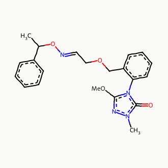 COc1nn(C)c(=O)n1-c1ccccc1COC/C=N/OC(C)c1ccccc1